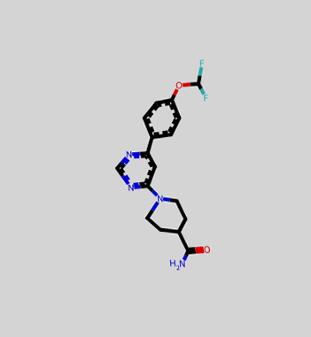 NC(=O)C1CCN(c2cc(-c3ccc(OC(F)F)cc3)ncn2)CC1